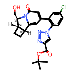 CC(C)(C)OC(=O)c1cn(-c2ccc(Cl)cc2-c2cc3n(c(=O)c2)[C@H](CO)[C@H]2CC[C@@H]32)nn1